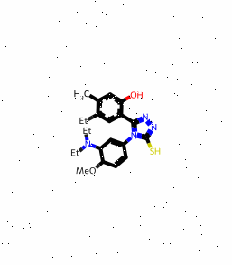 CCc1cc(-c2nnc(S)n2C2=CC(N(CC)CC)C(OC)C=C2)c(O)cc1C